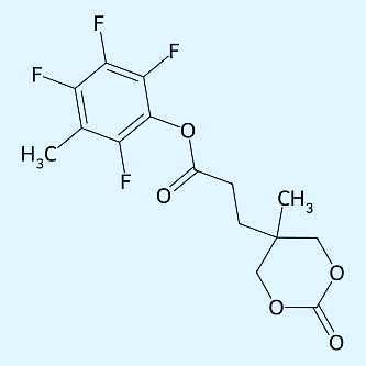 Cc1c(F)c(F)c(F)c(OC(=O)CCC2(C)COC(=O)OC2)c1F